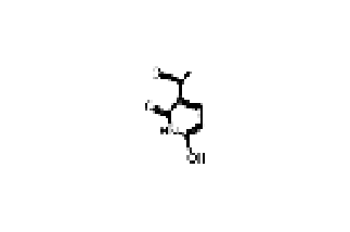 CC(=O)c1ccc(O)[nH]c1=O